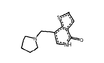 O=c1[nH]cc(CN2CCCC2)c2sccc12